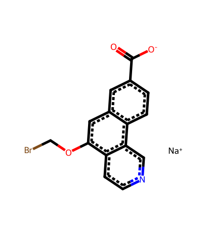 O=C([O-])c1ccc2c(c1)cc(OCBr)c1ccncc12.[Na+]